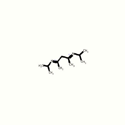 C/C(C/C(C)=N/C(C)C)=N\C(C)C